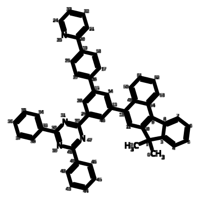 CC1(C)c2ccccc2-c2c1cc(-c1cc(-c3ccc(-c4ccccn4)cc3)cc(-c3nc(-c4ccccc4)nc(-c4ccccc4)n3)c1)c1ccccc21